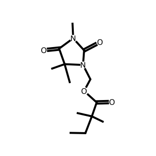 CCC(C)(C)C(=O)OCN1C(=O)N(C)C(=O)C1(C)C